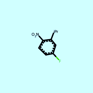 CC(C)c1cc(F)ccc1[N+](=O)[O-]